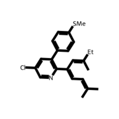 CC/C(C)=C/C(=C\C=C(C)C)c1ncc(Cl)cc1-c1ccc(SC)cc1